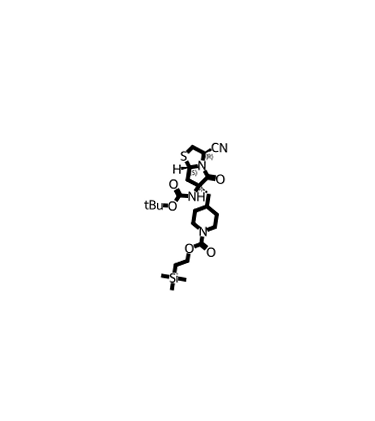 CC(C)(C)OC(=O)N[C@@]1(CC2CCN(C(=O)OCC[Si](C)(C)C)CC2)C[C@@H]2SC[C@@H](C#N)N2C1=O